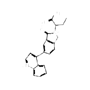 CCC(C(=O)O)N1Cc2ccc(-c3ccnc4ccccc34)cc2C1=O